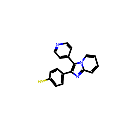 Sc1ccc(-c2nc3ccccn3c2-c2ccncc2)cc1